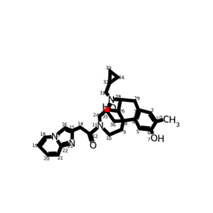 Cc1cc2c(cc1O)C13CCN(C(=O)Cc4cn5ccccc5n4)CCC1(O)C(C2)N(CC1CC1)CC3